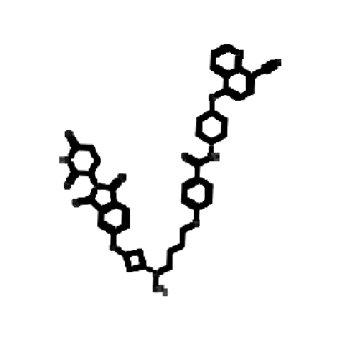 CN(CCCCOc1ccc(C(=O)N[C@H]2CC[C@H](Oc3ccc(C#N)c4ncccc34)CC2)cc1)[C@H]1C[C@H](Oc2ccc3c(c2)C(=O)N(C2CCC(=O)NC2=O)C3=O)C1